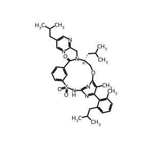 Cc1cccc(CC(C)C)c1-c1nc2nc(c1C)OC[C@@H](CC(C)C)N(Cc1ncc(CC(C)C)cn1)C(=O)c1cccc(c1)S(=O)(=O)N2